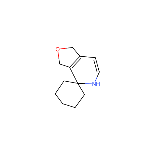 [CH]1CCC2(CC1)NC=CC1=C2COC1